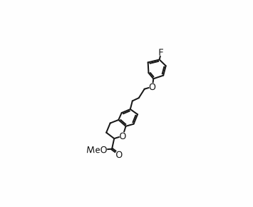 COC(=O)C1CCc2cc(CCCOc3ccc(F)cc3)ccc2O1